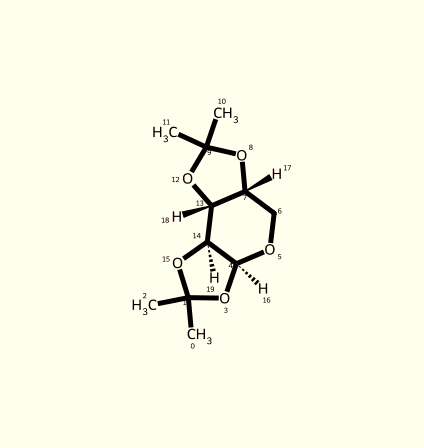 CC1(C)O[C@@H]2OC[C@H]3OC(C)(C)O[C@H]3[C@@H]2O1